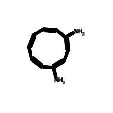 Nc1ccccccc(N)cc1